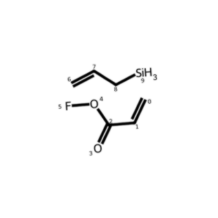 C=CC(=O)OF.C=CC[SiH3]